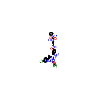 O=C(NCCCCNC(=O)c1ccc(Nc2nc(NC3(c4ccc(Cl)cc4)CC3)nc(OCC(F)(F)F)n2)cc1)C(=O)NC1CCCCC1